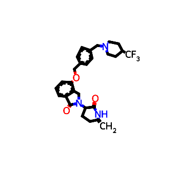 C=C1CCC(N2Cc3c(OCc4ccc(CN5CCC(C(F)(F)F)CC5)cc4)cccc3C2=O)C(=O)N1